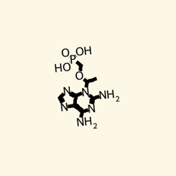 CC(OCP(=O)(O)O)n1c(N)nc(N)c2ncnc1-2